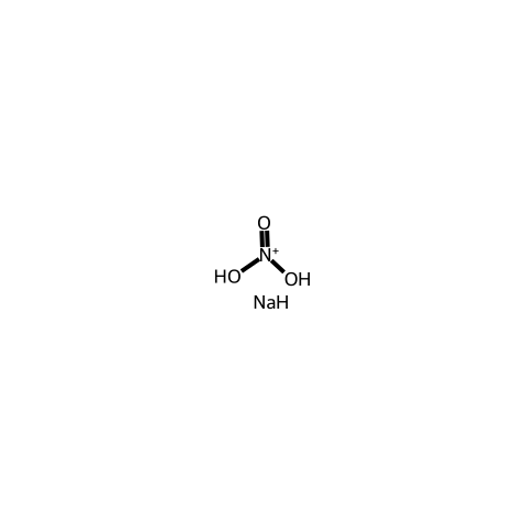 O=[N+](O)O.[NaH]